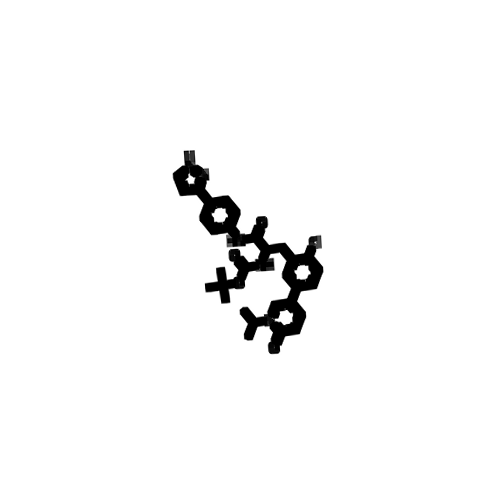 CC(C)n1cc(-c2ccc(Cl)c(CC(NC(=O)OC(C)(C)C)C(=O)Nc3ccc(-c4cc[nH]n4)cc3)c2)ccc1=O